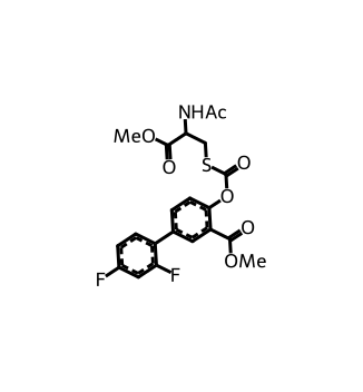 COC(=O)c1cc(-c2ccc(F)cc2F)ccc1OC(=O)SCC(NC(C)=O)C(=O)OC